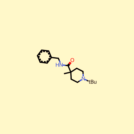 CC1(C(=O)NCc2ccccc2)CCN(C(C)(C)C)CC1